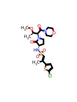 CO[C@H](C)[C@@H](C(=O)N1CCOCC1)N1CC[C@H](NS(=O)(=O)/C=C(\C)c2ccc(Cl)s2)C1=O